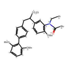 CCOC(=O)C(Cc1ccc(-c2c(OC)cccc2OC)cc1)c1ccc(OC)c(N(CC(C)C)C(=O)C(C)(C)C)c1